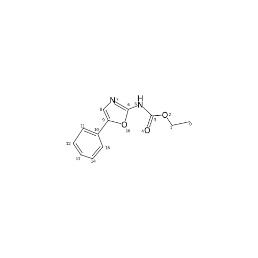 CCOC(=O)Nc1ncc(-c2ccccc2)o1